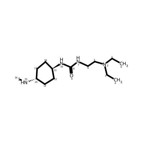 CCN(CC)CCNC(=O)N[C@H]1CC[C@H](NI)CC1